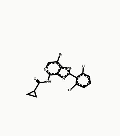 O=C(Nc1ncc(Br)c2[nH]c(-c3c(Cl)cccc3Cl)nc12)C1CC1